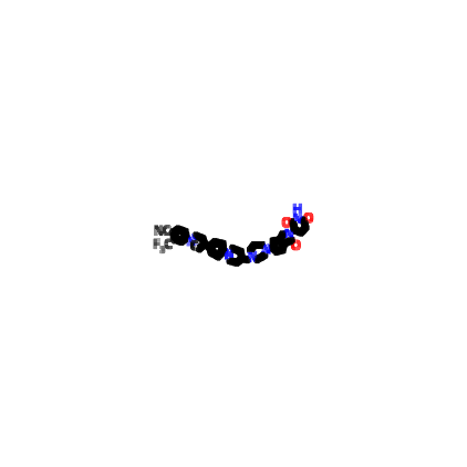 N#Cc1ccc(N2CCC(c3ccc(N4CCC(CN5CCCN(c6ccc7c(c6)CN(C6CCC(=O)NC6=O)C7=O)CC5)CC4)cc3)CC2)cc1C(F)(F)F